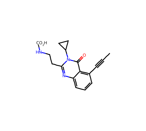 CC#Cc1cccc2nc(CCNC(=O)O)n(C3CC3)c(=O)c12